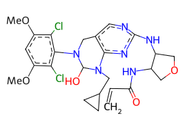 C=CC(=O)NC1COCC1Nc1ncc2c(n1)N(CC1CC1)C(O)N(c1c(Cl)c(OC)cc(OC)c1Cl)C2